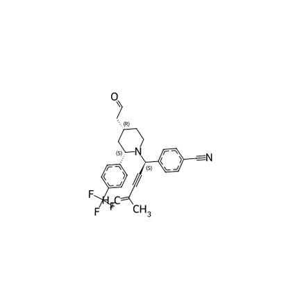 C=C(C)C#C[C@H](c1ccc(C#N)cc1)N1CC[C@@H](CC=O)C[C@H]1c1ccc(C(F)(F)F)cc1